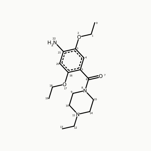 CCOc1cc(C(=O)N2CCN(CC)CC2)c(OCC)cc1N